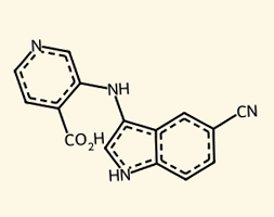 N#Cc1ccc2[nH]cc(Nc3cnccc3C(=O)O)c2c1